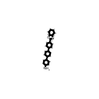 Nc1ccc(-c2ccc(-c3ccc(-c4nc5ccccc5o4)cc3)cc2)cc1